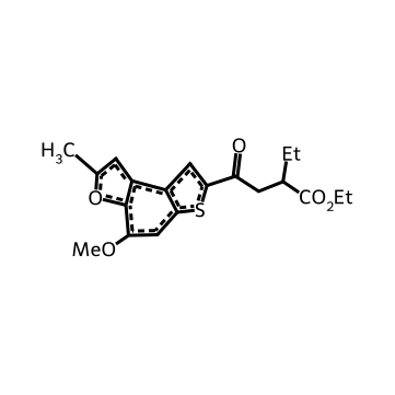 CCOC(=O)C(CC)CC(=O)c1cc2c(cc(OC)c3oc(C)cc32)s1